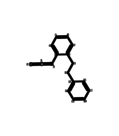 O=C=Nc1ccccc1CCc1ccccc1